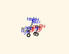 C[C@](N)(Cc1ccccc1)C(=O)N[C@@H](CCCNC(=N)N)C(=O)O.O=C(O)[C@@H]1CCCN1C(=O)CC12CC3CC(CC(C3)C1)C2